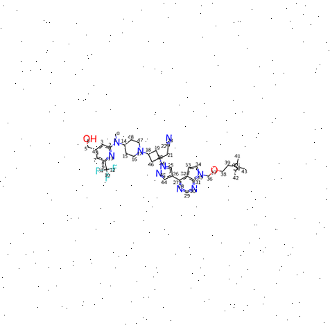 CN(c1cc(CO)cc(C(F)(F)F)n1)C1CCN(C2CC(CC#N)(n3cc(-c4ncnc5c4ccn5COCC[Si](C)(C)C)cn3)C2)CC1